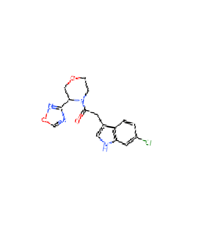 O=C(Cc1c[nH]c2cc(Cl)ccc12)N1CCOCC1c1ncon1